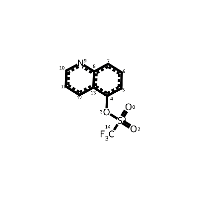 O=S(=O)(Oc1cccc2ncccc12)C(F)(F)F